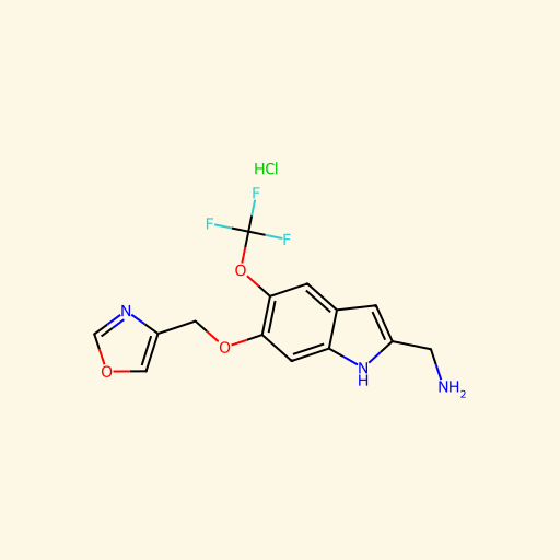 Cl.NCc1cc2cc(OC(F)(F)F)c(OCc3cocn3)cc2[nH]1